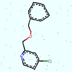 Clc1ccnc(COCc2ccccc2)c1